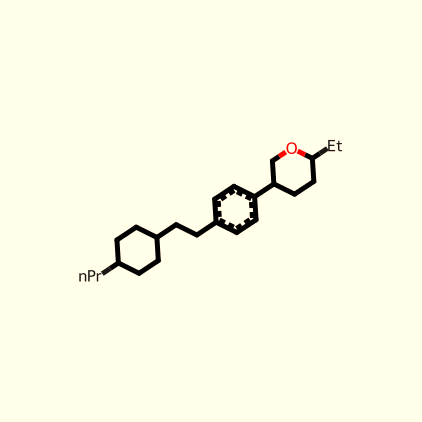 CCCC1CCC(CCc2ccc(C3CCC(CC)OC3)cc2)CC1